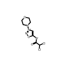 O=C([N-]c1c[n+](N2CCOCC2)no1)C(Cl)Cl